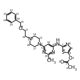 CC(=O)Oc1cnc(Nc2cc(N3CCN(CCOCc4ccccc4)CC3)nc(C)n2)s1